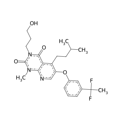 CC(C)CCc1c(Oc2cccc(C(C)(F)F)c2)cnc2c1c(=O)n(CCCO)c(=O)n2C